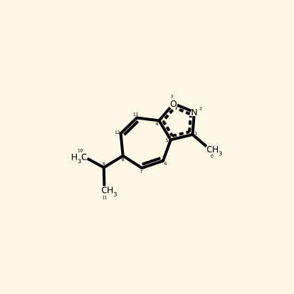 Cc1noc2c1C=CC(C(C)C)C=C2